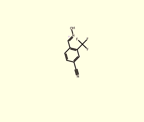 N#Cc1ccc(/C=N/O)c(C(F)(F)F)c1